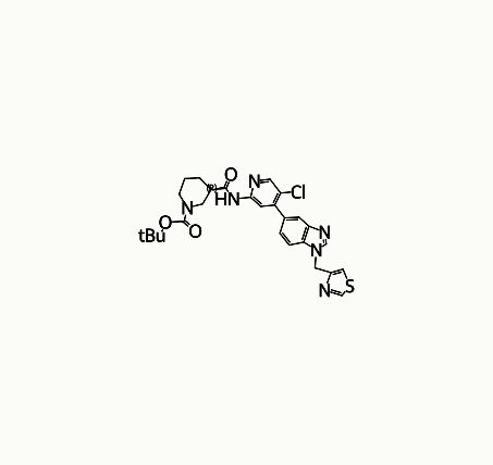 CC(C)(C)OC(=O)N1CCC[C@@H](C(=O)Nc2cc(-c3ccc4c(c3)ncn4Cc3cscn3)c(Cl)cn2)C1